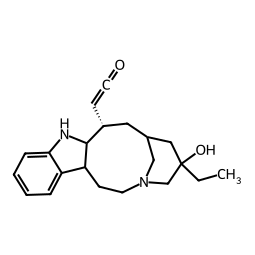 CCC1(O)CC2C[C@@H](C=C=O)C3Nc4ccccc4C3CCN(C2)C1